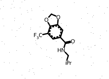 CC(C)CNC(=O)c1cc2c(c(C(F)(F)F)c1)OCO2